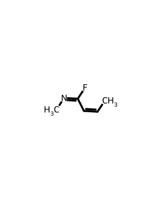 C/C=C\C(F)=N/C